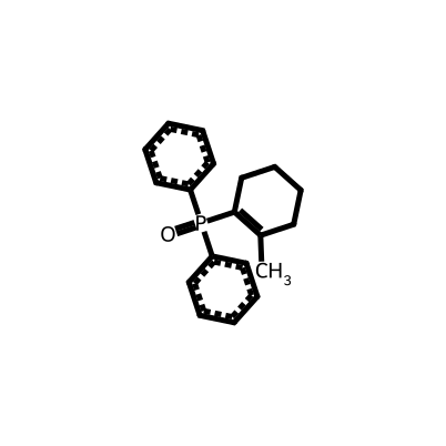 CC1=C(P(=O)(c2ccccc2)c2ccccc2)CCCC1